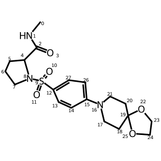 CNC(=O)C1CCCN1S(=O)(=O)c1ccc(N2CCC3(CC2)OCCO3)cc1